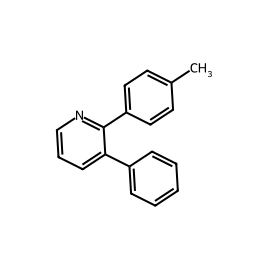 Cc1ccc(-c2ncccc2-c2ccccc2)cc1